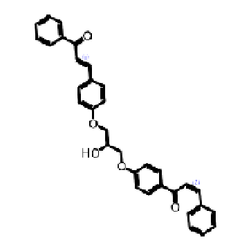 O=C(/C=C\c1ccccc1)c1ccc(OCC(O)COc2ccc(/C=C/C(=O)c3ccccc3)cc2)cc1